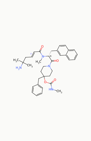 CNC(=O)OC1(Cc2ccccc2)CCN(C(=O)[C@@H](Cc2ccc3ccccc3c2)N(C)C(=O)/C=C/CC(C)(C)N)CC1